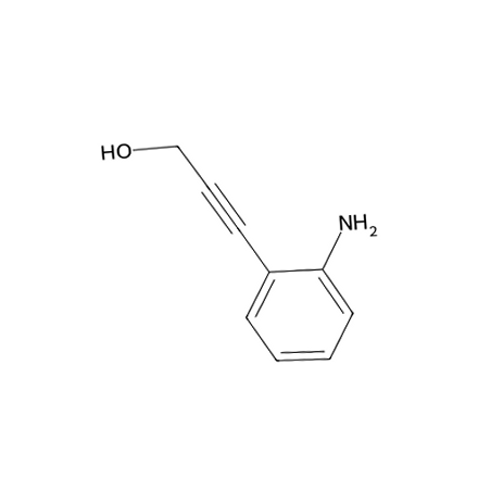 Nc1ccccc1C#CCO